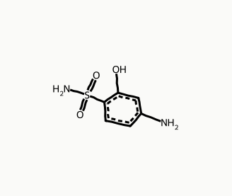 Nc1ccc(S(N)(=O)=O)c(O)c1